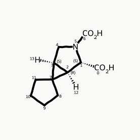 O=C(O)[C@@H]1[C@@H]2[C@H](CN1C(=O)O)C21CCCC1